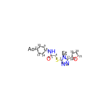 CCn1c(SCC(=O)Nc2ccc(C(C)=O)cc2)nnc1-c1ccco1